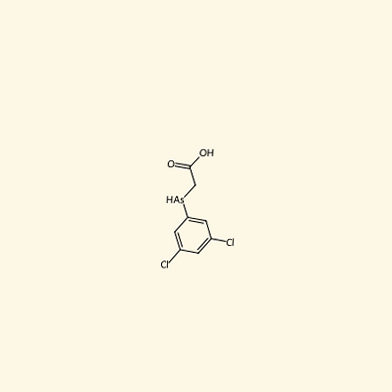 O=C(O)C[AsH]c1cc(Cl)cc(Cl)c1